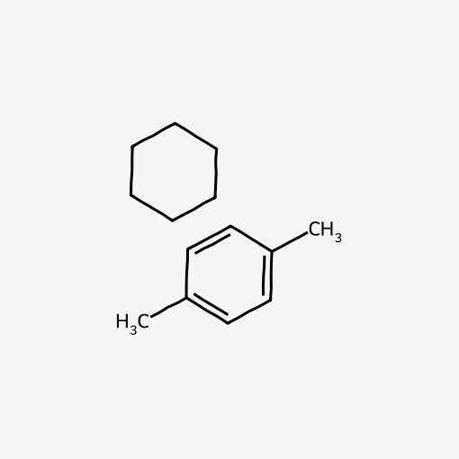 C1CCCCC1.Cc1ccc(C)cc1